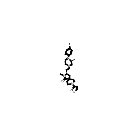 C[C@H]1CN(CC[C@H]2CC3(CCN(c4ccon4)CC3)C(=O)N2C)CCN1c1ccc(F)cc1